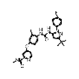 CNC(=O)c1cc(Oc2ccc(NC(=O)Nc3cc(C(C)(C)C)nn3-c3ccc(F)cc3)c(C)c2)ccn1